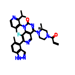 C=CC(=O)N1CCN(c2nc(=O)n(-c3c(C)ccnc3C(C)C)c3c(F)c(-c4c(C)ccc5[nH]ncc45)ncc23)[C@@H](C)C1